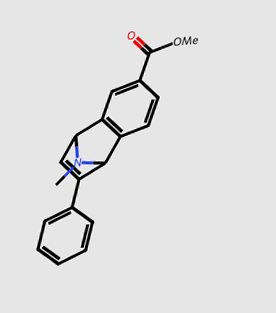 COC(=O)c1ccc2c(c1)C1C=C(c3ccccc3)C2N1C